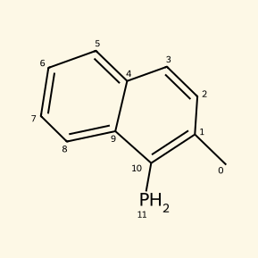 Cc1ccc2ccccc2c1P